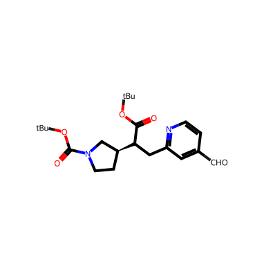 CC(C)(C)OC(=O)C(Cc1cc(C=O)ccn1)[C@H]1CCN(C(=O)OC(C)(C)C)C1